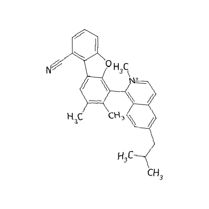 Cc1cc2c(oc3cccc(C#N)c32)c(-c2c3ccc(CC(C)C)cc3cc[n+]2C)c1C